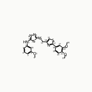 COc1cccc(Nc2nnc(SCc3csc(-c4ccc(OC)c(OC)c4)n3)s2)c1